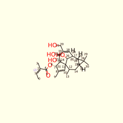 C/C=C(/C)C(=O)O[C@H]1C(C)=CC23C(C)C[C@@H]4[C@H]([C@H](C=C(CO)[C@@H](O)[C@]12O)C3O)C4(C)C